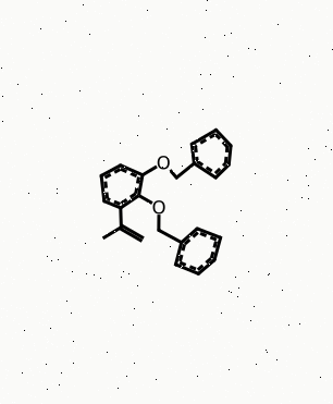 C=C(C)c1cccc(OCc2ccccc2)c1OCc1ccccc1